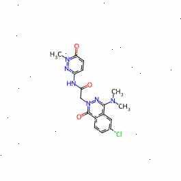 CN(C)c1nn(CC(=O)Nc2ccc(=O)n(C)n2)c(=O)c2ccc(Cl)cc12